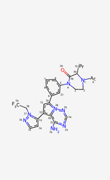 CC(=O)N1CCN(c2cccc(-c3cc(-c4ccnn4CC(F)(F)F)c4c(N)ncnn34)c2)C(=O)C1C(C)C